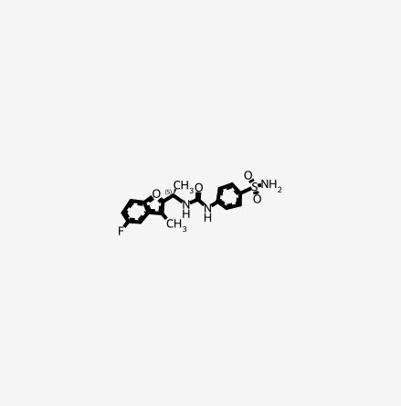 Cc1c([C@H](C)NC(=O)Nc2ccc(S(N)(=O)=O)cc2)oc2ccc(F)cc12